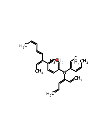 C=C/C=C(\C=C)N(C(/C=C\C)=C/C)C(/C=C\C(=C/C)C(=C/C)\C=C\C=C/C)=C/C